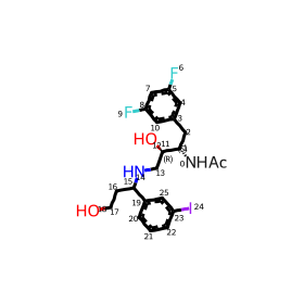 CC(=O)N[C@@H](Cc1cc(F)cc(F)c1)[C@H](O)CNC(CCO)c1cccc(I)c1